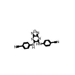 N#Cc1ccc(Nc2nc3nonc3nc2Nc2ccc(C#N)cc2)cc1